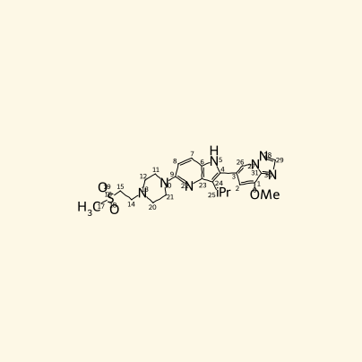 COc1cc(-c2[nH]c3ccc(N4CCN(CCS(C)(=O)=O)CC4)nc3c2C(C)C)cn2ncnc12